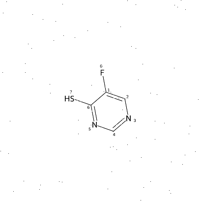 Fc1cncnc1S